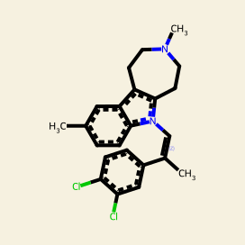 C/C(=C/n1c2c(c3cc(C)ccc31)CCN(C)CC2)c1ccc(Cl)c(Cl)c1